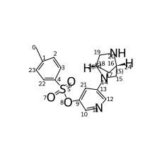 Cc1ccc(S(=O)(=O)Oc2cncc(N3C[C@@H]4C[C@H]3CN4)c2)cc1